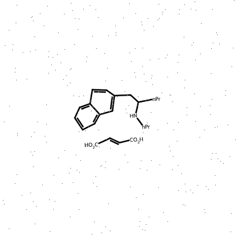 CCCNC(CCC)Cc1ccc2ccccc2c1.O=C(O)C=CC(=O)O